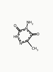 Cc1n[nH]c(=O)n(N)c1=O